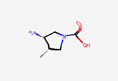 C[C@H]1CN(C(=O)O)C[C@@H]1N